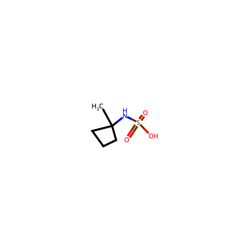 CC1(NS(=O)(=O)O)CCC1